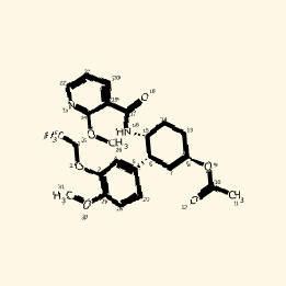 CCOc1cc([C@H]2C[C@H](OC(C)=O)CC[C@H]2NC(=O)c2cccnc2OC)ccc1OC